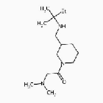 CCC(C)(C)NCC1CCCN(C(=O)CN(C)C)C1